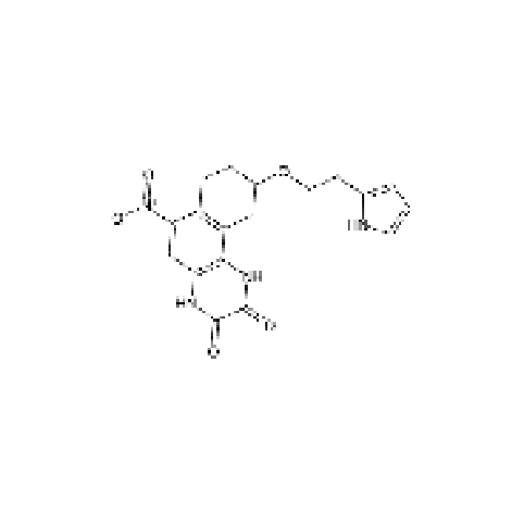 O=c1[nH]c2cc([N+](=O)[O-])c3c(c2[nH]c1=O)CC(OCCc1ccc[nH]1)CC3